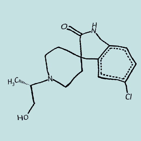 C[C@@H](CO)N1CCC2(CC1)C(=O)Nc1ccc(Cl)cc12